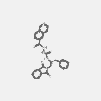 O=C(NNC(=S)N[C@@H](Cc1ccccc1)CN1C(=O)c2ccccc2C1=O)c1ccc2cnccc2c1